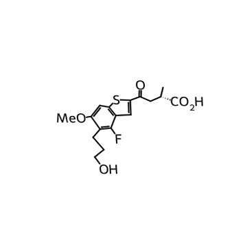 COc1cc2sc(C(=O)C[C@H](C)C(=O)O)cc2c(F)c1CCCO